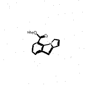 COC(=O)c1cccc2cc3n(c12)CC=C3